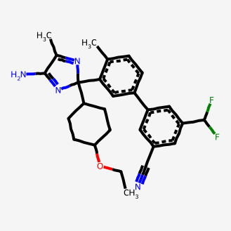 CCOC1CCC(C2(c3cc(-c4cc(C#N)cc(C(F)F)c4)ccc3C)N=C(C)C(N)=N2)CC1